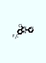 FC(F)(F)c1ccc2c(Cl)nc(-c3cccnc3)nc2c1